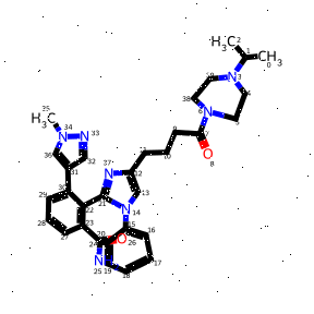 CC(C)N1CCN(C(=O)CCCc2cn(-c3ccccc3)c(-c3c(C(N)=O)cccc3-c3cnn(C)c3)n2)CC1